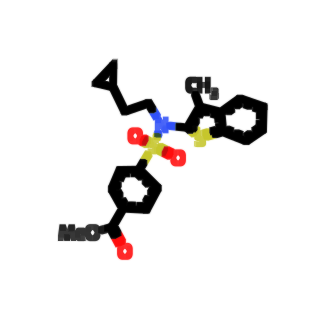 COC(=O)c1ccc(S(=O)(=O)N(CCC2CC2)c2sc3ccccc3c2C)cc1